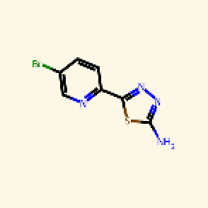 Nc1nnc(-c2ccc(Br)cn2)s1